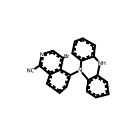 N#Cc1ncc(Br)c2c(N3c4ccccc4Nc4ccccc43)cccc12